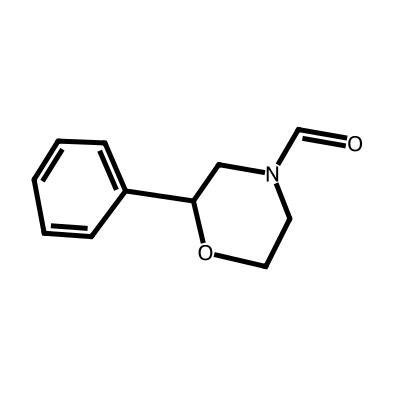 O=CN1CCOC(c2ccccc2)C1